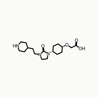 O=C(O)CO[C@H]1CC[C@H](N2CCN(CCC3CCNCC3)C2=O)CC1